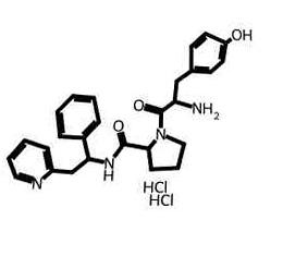 Cl.Cl.NC(Cc1ccc(O)cc1)C(=O)N1CCCC1C(=O)NC(Cc1ccccn1)c1ccccc1